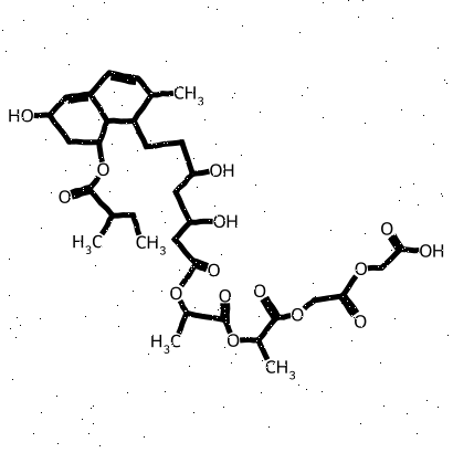 CCC(C)C(=O)OC1CC(O)C=C2C=CC(C)C(CCC(O)CC(O)CC(=O)OC(C)C(=O)OC(C)C(=O)OCC(=O)OCC(=O)O)C21